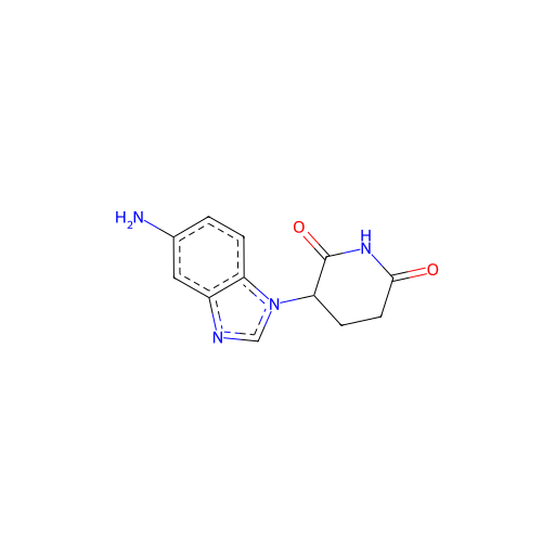 Nc1ccc2c(c1)ncn2C1CCC(=O)NC1=O